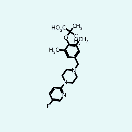 Cc1cc(CN2CCN(c3ccc(F)cn3)CC2)cc(C)c1OC(C)(C)C(=O)O